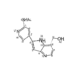 CC(=O)Nc1cc(-c2cc3nccc(CO)c3[nH]2)ccn1